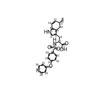 O=C(O)C(Cc1c[nH]c2c1CC(F)C=C2)NS(=O)(=O)c1ccc(Oc2ccncc2)cc1